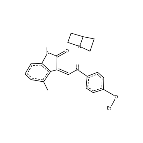 C1CN2CCC12.CCOc1ccc(NC=C2C(=O)Nc3cccc(C)c32)cc1